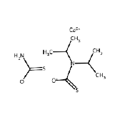 CC(C)N(C([O-])=S)C(C)C.NC([O-])=S.[Ca+2]